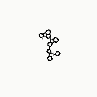 c1ccc(-n2c3ccccc3c3ccc(-c4ccc5c(c4)c4ccccc4n5-c4cc5c6c(cccc6c4)-c4cccnc4-5)cc32)cc1